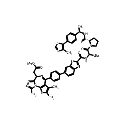 COC(=O)CC1N=C(c2ccc(-c3ccc4nc(C(=O)NC(C(=O)N5CCC[C@H]5C(=O)NC(C)c5ccc(-c6scnc6C)cc5)C(C)(C)C)oc4c3)cc2)c2c(sc(C)c2C)-n2c(C)nnc21